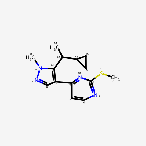 CSc1nccc(-c2cnn(C)c2C(C)C2CC2)n1